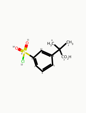 CC(C)(C(=O)O)c1cccc(S(=O)(=O)Cl)c1